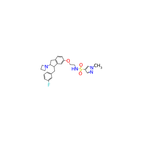 Cn1cc(S(=O)(=O)NCCOc2ccc3c(c2)C(Cc2cccc(F)c2)C(N2CCC2)C3)cn1